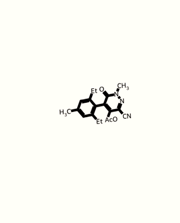 CCc1cc(C)cc(CC)c1-c1c(OC(C)=O)c(C#N)nn(C)c1=O